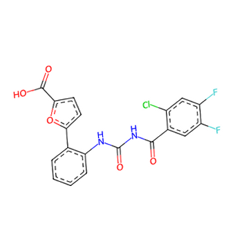 O=C(NC(=O)c1cc(F)c(F)cc1Cl)Nc1ccccc1-c1ccc(C(=O)O)o1